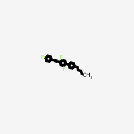 CCCCCc1ccc(-c2cc(F)c(C#Cc3ccc(F)cc3)cc2F)cc1